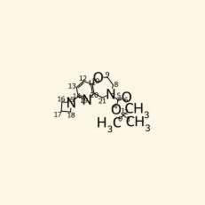 CC(C)(C)OC(=O)N1CCOc2ccc(N3CCC3)nc2C1